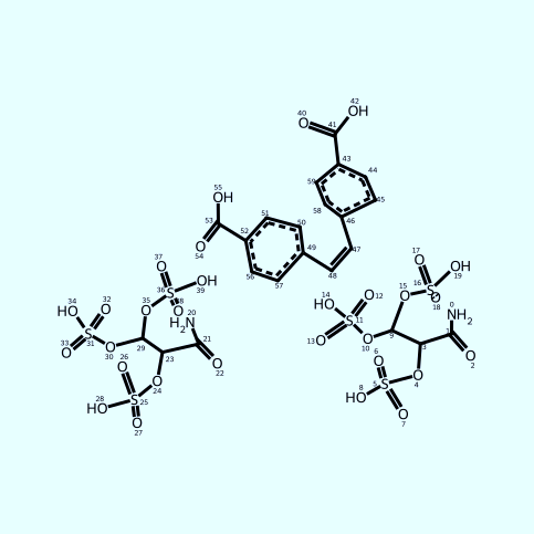 NC(=O)C(OS(=O)(=O)O)C(OS(=O)(=O)O)OS(=O)(=O)O.NC(=O)C(OS(=O)(=O)O)C(OS(=O)(=O)O)OS(=O)(=O)O.O=C(O)c1ccc(/C=C\c2ccc(C(=O)O)cc2)cc1